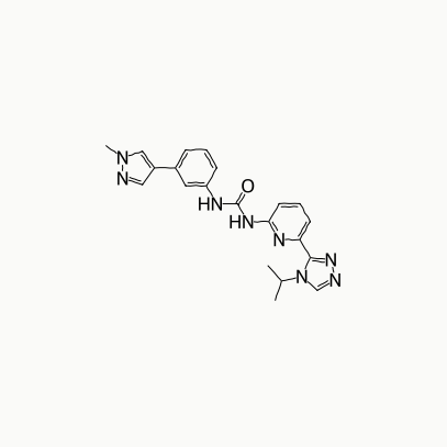 CC(C)n1cnnc1-c1cccc(NC(=O)Nc2cccc(-c3cnn(C)c3)c2)n1